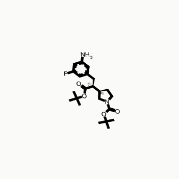 CC(C)(C)OC(=O)[C@@H](Cc1cc(N)cc(F)c1)[C@H]1CCN(C(=O)OC(C)(C)C)C1